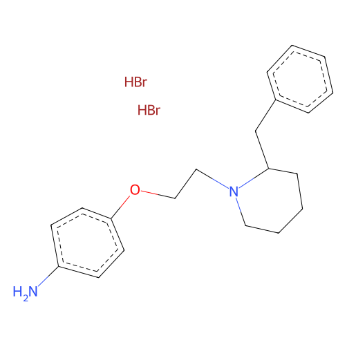 Br.Br.Nc1ccc(OCCN2CCCCC2Cc2ccccc2)cc1